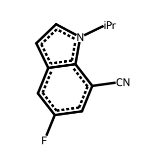 CC(C)n1ccc2cc(F)cc(C#N)c21